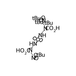 CN(CCCCN(CCCCNCc1c2ccccc2c(CNCCCCN(CCCC(N(C)C(=O)OC(C)(C)C)(C(C)(C)C)C(C)(C)C)C(=O)O)c2ccccc12)C(=O)O)C(=O)OC(C)(C)C